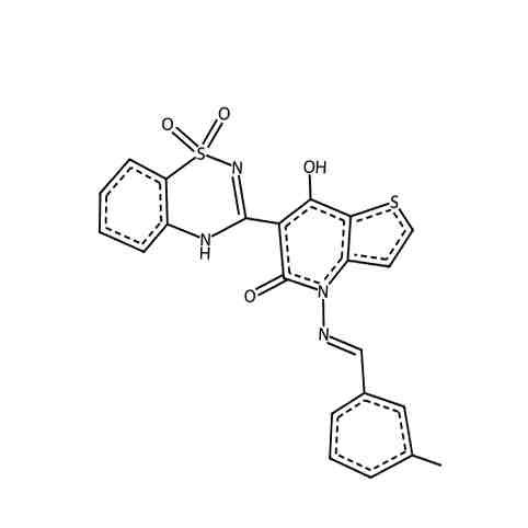 Cc1cccc(/C=N/n2c(=O)c(C3=NS(=O)(=O)c4ccccc4N3)c(O)c3sccc32)c1